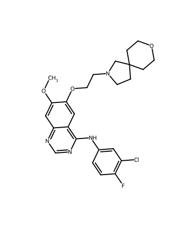 COc1cc2ncnc(Nc3ccc(F)c(Cl)c3)c2cc1OCCN1CCC2(CCOCC2)C1